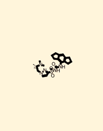 C[C@@H](Cn1ccc(S(=O)(=O)NC(=O)Nc2c3c(cc4c2CCC4)CCC3)n1)N(C)C